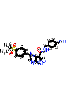 CC(C)S(=O)(=O)c1ccc(-c2cnc3[nH]cc(C(=O)NCc4ccc(N)cc4)c3n2)cc1